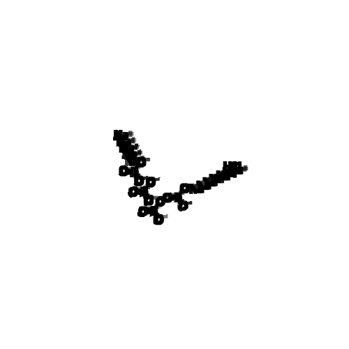 Cl.[Na+].[Na+].[Na+].[Na+].[Na+].[Na+].[Na+].[Na+].[Na+].[Na+].[Na+].[Na+].[O-]B([O-])[O-].[O-]B([O-])[O-].[O-]B([O-])[O-].[O-]B([O-])[O-]